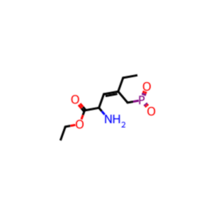 CCOC(=O)C(N)C=C(CC)CP(=O)=O